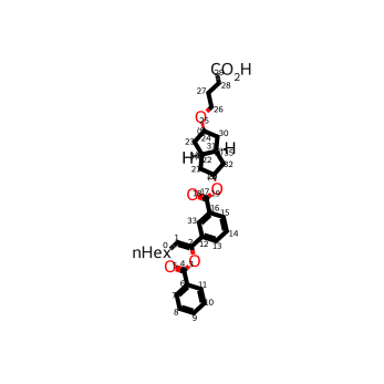 CCCCCCC=C(OC(=O)c1ccccc1)c1cccc(C(=O)O[C@@H]2C[C@H]3C[C@@H](OCCCC(=O)O)C[C@H]3C2)c1